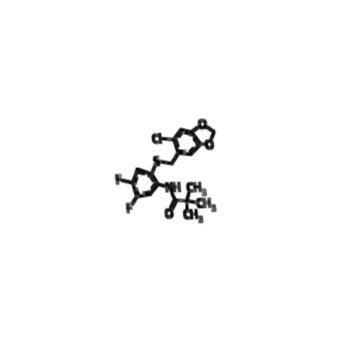 CC(C)(C)C(=O)Nc1cc(F)c(F)cc1SCc1cc2c(cc1Cl)OCO2